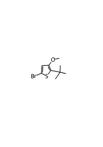 COc1cc(Br)sc1C(C)(C)C